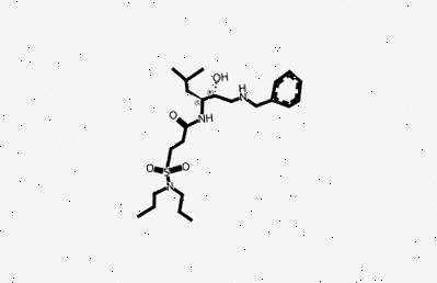 CCCN(CCC)S(=O)(=O)CCC(=O)N[C@@H](CC(C)C)[C@H](O)CNCc1ccccc1